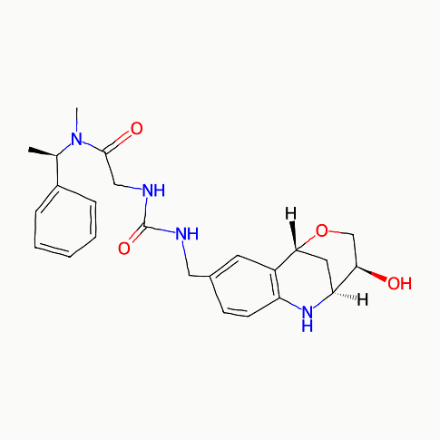 C[C@H](c1ccccc1)N(C)C(=O)CNC(=O)NCc1ccc2c(c1)[C@H]1C[C@H](N2)[C@H](O)CO1